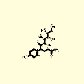 Cc1ccc(C(CCC(N)=O)C(=O)[C@H](O)[C@@H](O)[C@H](O)[C@H](O)CO)cc1